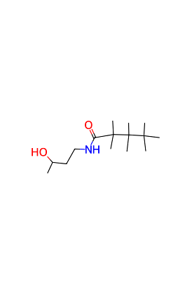 CC(O)CCNC(=O)C(C)(C)C(C)(C)C(C)(C)C